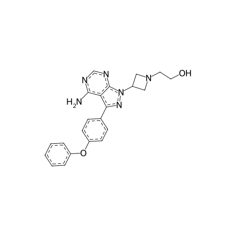 Nc1ncnc2c1c(-c1ccc(Oc3ccccc3)cc1)nn2C1CN(CCO)C1